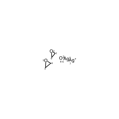 C1CO1.C1CO1.[Ag+].[Ag+].[O-2]